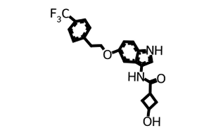 O=C(Nc1c[nH]c2ccc(OCCc3ccc(C(F)(F)F)cc3)cc12)C1CC(O)C1